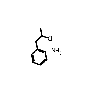 CC(Cl)Cc1ccccc1.N